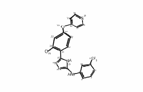 FC(F)(F)c1cccc(Nc2nnc(-c3ccc(Oc4ccncc4)cc3Cl)[nH]2)c1